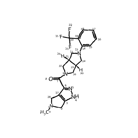 CN1Cc2[nH]nc(C(=O)N3C[C@@H]4CN(c5ccccc5C(F)(F)F)C[C@@H]4C3)c2C1